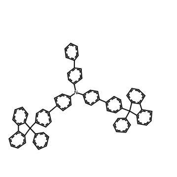 c1ccc(-c2ccc(N(c3ccc(-c4ccc(C5(c6ccccc6)c6ccccc6-c6ccccc65)cc4)cc3)c3ccc(-c4ccc(C5(c6ccccc6)c6ccccc6-c6ccccc65)cc4)cc3)cc2)cc1